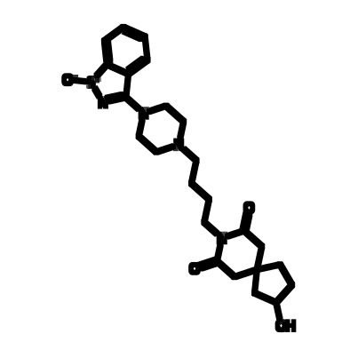 O=C1CC2(CCC(O)C2)CC(=O)N1CCCCN1CCN(c2n[s+]([O-])c3ccccc23)CC1